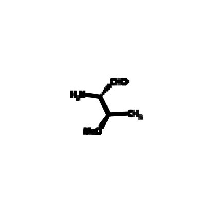 CO[C@H](C)[C@H](N)[C]=O